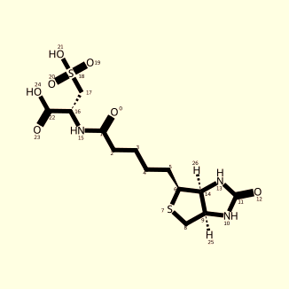 O=C(CCCC[C@@H]1SC[C@@H]2NC(=O)N[C@@H]21)N[C@@H](CS(=O)(=O)O)C(=O)O